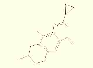 C=Cc1cc2c(c(C)c1/C=C(\C)C1CC1)CC(N)CC2